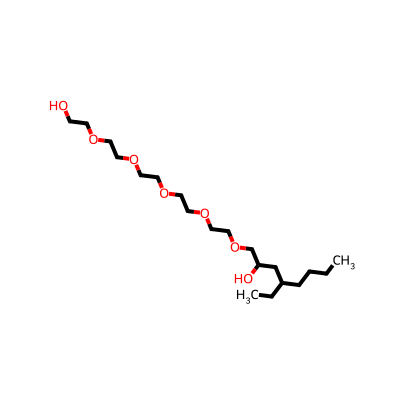 CCCCC(CC)CC(O)COCCOCCOCCOCCOCCO